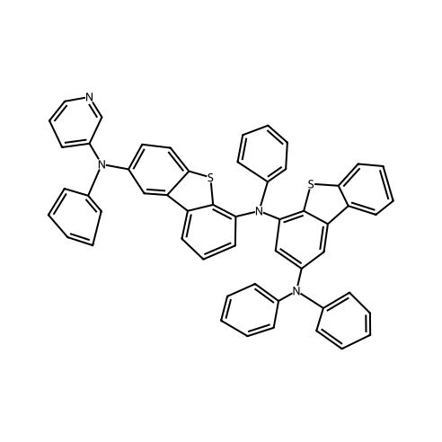 c1ccc(N(c2cccnc2)c2ccc3sc4c(N(c5ccccc5)c5cc(N(c6ccccc6)c6ccccc6)cc6c5sc5ccccc56)cccc4c3c2)cc1